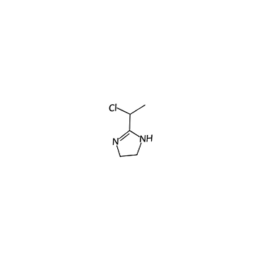 CC(Cl)C1=NCCN1